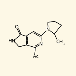 CC(=O)c1nc(N2CCCC2C)cc2c1CNC2=O